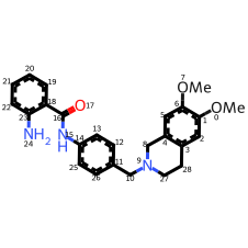 COc1cc2c(cc1OC)CN(Cc1ccc(NC(=O)c3ccccc3N)cc1)CC2